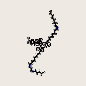 CCCCC/C=C\C/C=C\CCCCCCCC(=O)O[C@H](COC(=O)CCCCCCC/C=C\CCCCCCCC)COP(=O)(O)OCC[N+](C)(C)C